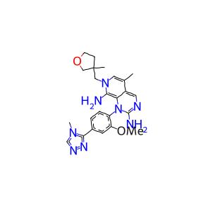 COc1cc(-c2nncn2C)ccc1N1C(N)=NC=C2C(C)=CN(CC3(C)CCOC3)C(N)=C21